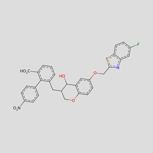 O=C(O)c1cccc(CC2COc3ccc(OCc4nc5cc(F)ccc5s4)cc3C2O)c1-c1ccc([N+](=O)[O-])cc1